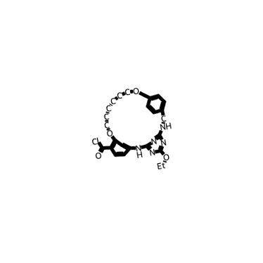 CCOc1nc2nc(n1)Nc1ccc(C(=O)Cl)c(c1)OCCCCCCOc1ccc(cc1)CN2